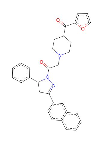 O=C(c1ccco1)C1CCN(CC(=O)N2N=C(c3ccc4ccccc4c3)CC2c2ccccc2)CC1